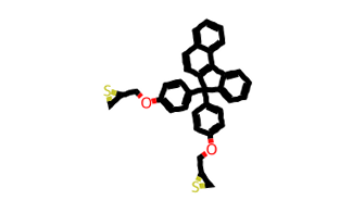 c1ccc2c(c1)-c1c(ccc3ccccc13)C2(c1ccc(OCC2CS2)cc1)c1ccc(OCC2CS2)cc1